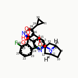 O=C(O)c1ccc(N2[C@@H]3CC[C@H]2C[C@@H](OCc2c(-c4c(F)cccc4Cl)noc2C2CC2)C3)nc1